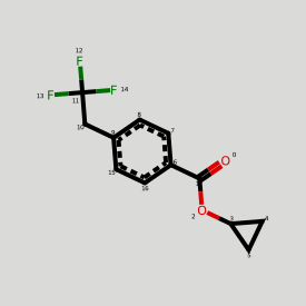 O=C(OC1CC1)c1ccc(CC(F)(F)F)cc1